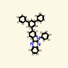 c1ccc(-c2cc(-c3ccccc3)cc(-c3ccc4c5nc6ccccc6nc5n(-c5ccccc5)c4c3)c2)cc1